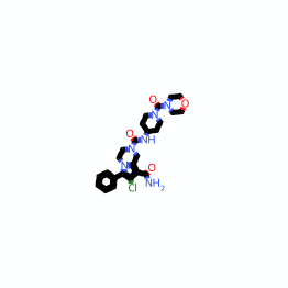 NC(=O)c1c(Cl)c(-c2ccccc2)n2c1CN(C(=O)NC1CCN(C(=O)N3CCOCC3)CC1)CC2